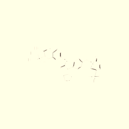 CC(C)(C)C(Cc1cccc(NC(=O)[C@H](c2ccc(Cn3cc(C(F)(F)F)ccc3=O)cc2)C2CCCC2)c1)C(=O)O